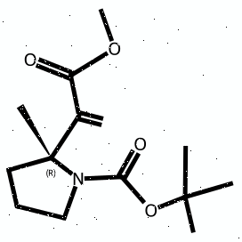 C=C(C(=O)OC)[C@@]1(C)CCCN1C(=O)OC(C)(C)C